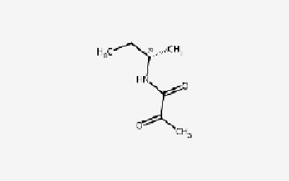 CC[C@H](C)NC(=O)C(C)=O